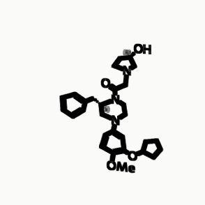 COc1ccc(N2CCN(C(=O)CN3CC[C@@H](O)C3)[C@@H](Cc3ccccc3)C2)cc1OC1CCCC1